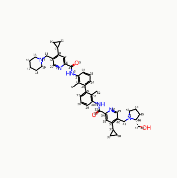 Cc1c(NC(=O)c2cc(C3CC3)c(CN3CCCCC3)cn2)cccc1-c1cccc(NC(=O)c2cc(C3CC3)c(CN3CCC[C@@H]3CO)cn2)c1C